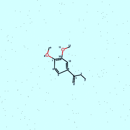 [CH]=C(CC)c1ccc(OC)c(OC)c1